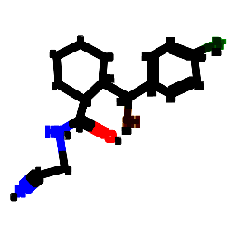 N#CCNC(=O)C1CCCCC1C(S)c1ccc(Br)cc1